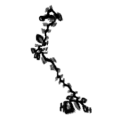 CC(CCCCCCCCCCCCCCCC(=O)NC(CNC(=O)CCCCCN1C(=O)C=CC1=O)C(=O)O)(C(=O)O)C(=O)O